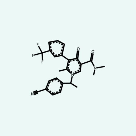 Cc1c(-c2cccc(C(F)(F)F)c2)c(=O)c(C(=O)N(C)C)cn1C(C)c1ccc(C#N)cc1